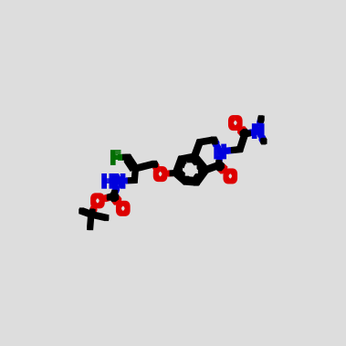 CN(C)C(=O)CN1CCc2cc(OC/C(=C/F)CNC(=O)OC(C)(C)C)ccc2C1=O